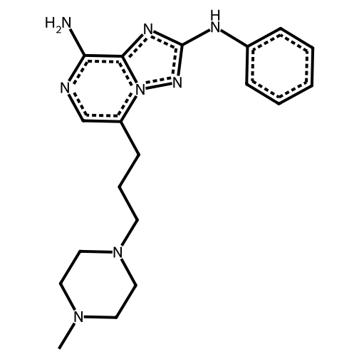 CN1CCN(CCCc2cnc(N)c3nc(Nc4ccccc4)nn23)CC1